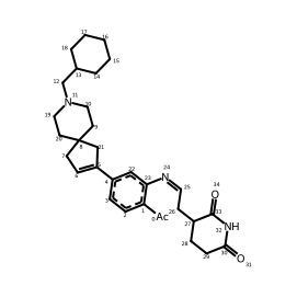 CC(=O)c1ccc(C2=CCC3(CCN(CC4CCCCC4)CC3)C2)cc1/N=C\CC1CCC(=O)NC1=O